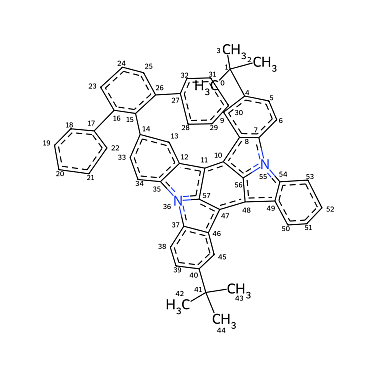 CC(C)(C)c1ccc2c(c1)c1c3c4cc(-c5c(-c6ccccc6)cccc5-c5ccccc5)ccc4n4c5ccc(C(C)(C)C)cc5c(c5c6ccccc6n2c51)c34